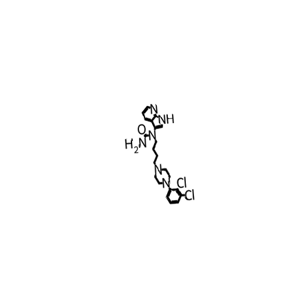 NC(=O)N(CCCCN1CCN(c2cccc(Cl)c2Cl)CC1)c1c[nH]c2ncccc12